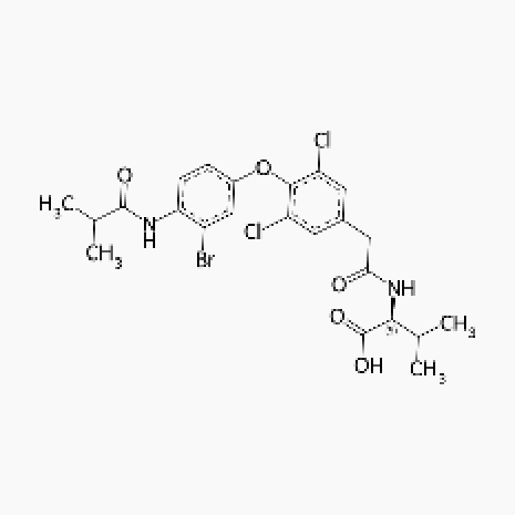 CC(C)C(=O)Nc1ccc(Oc2c(Cl)cc(CC(=O)N[C@H](C(=O)O)C(C)C)cc2Cl)cc1Br